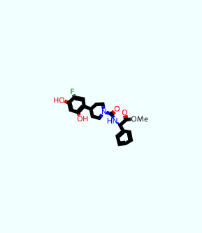 COC(=O)[C@H](NC(=O)N1CCC(c2cc(F)c(O)cc2O)CC1)c1ccccc1